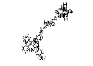 N=c1c2c(-c3ccccc3)c(-c3ccccc3)n(Cc3cccc(C#CCCCCNC(=O)CCCC[C@@H]4SC[C@@H]5NC(=O)N[C@@H]54)c3)c2ncn1[C@H]1CC[C@H](O)CC1